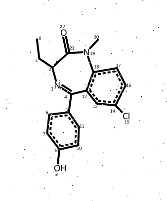 CCC1N=C(c2ccc(O)cc2)c2cc(Cl)ccc2N(C)C1=O